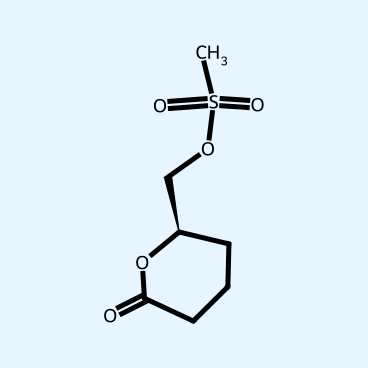 CS(=O)(=O)OC[C@H]1CCCC(=O)O1